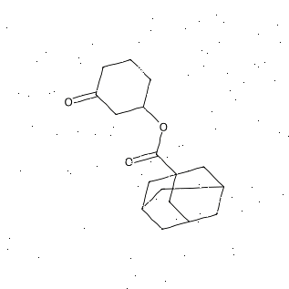 O=C1CCCC(OC(=O)C23CC4CC(CC(C4)C2)C3)C1